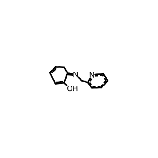 OC1=CC=CCC1=NCc1ccccn1